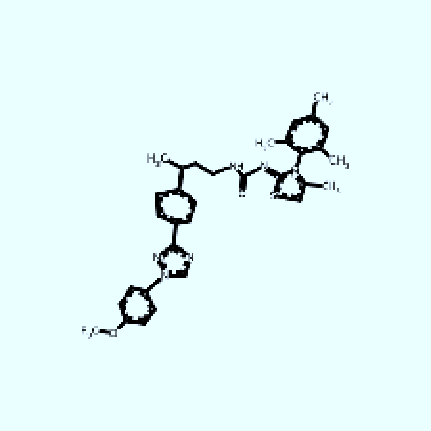 Cc1cc(C)c(-n2c(C)cs/c2=N\C(=O)NCCC(C)c2ccc(-c3ncn(-c4ccc(OC(F)(F)F)cc4)n3)cc2)c(C)c1